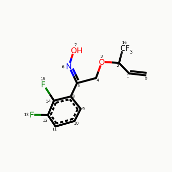 C=CC(OCC(=NO)c1cccc(F)c1F)C(F)(F)F